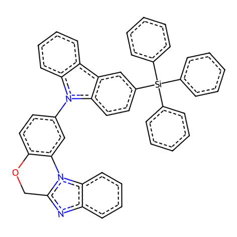 c1ccc([Si](c2ccccc2)(c2ccccc2)c2ccc3c(c2)c2ccccc2n3-c2ccc3c(c2)-n2c(nc4ccccc42)CO3)cc1